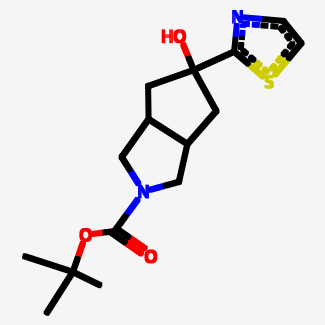 CC(C)(C)OC(=O)N1CC2CC(O)(c3nccs3)CC2C1